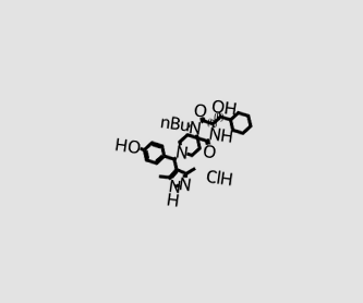 CCCCN1C(=O)[C@@H]([C@H](O)C2CCCCC2)NC(=O)C12CCN(C(c1ccc(O)cc1)c1c(C)n[nH]c1C)CC2.Cl